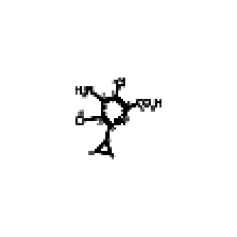 Nc1c(Cl)c(C(=O)O)nc(C2CC2)c1Cl